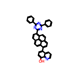 Oc1ccc(-c2ccc3ccc4c(-c5nc(-c6ccccc6)nc(-c6ccccc6)n5)ccc5ccc2c3c54)c2cccnc12